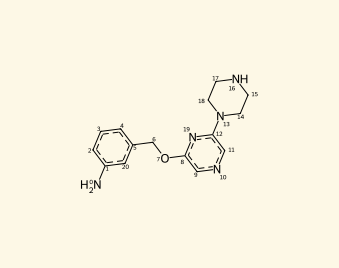 Nc1cccc(COc2cncc(N3CCNCC3)n2)c1